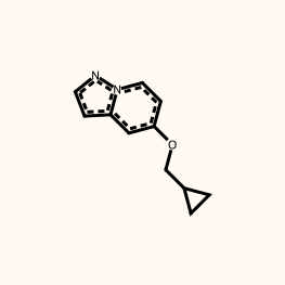 c1cc2cc(OCC3CC3)ccn2n1